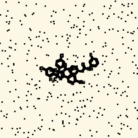 CCOc1cc(C(C)(C)C)ncc1C1=N[C@@](C)(c2ccc(Cl)cc2)[C@@](C)(c2ccc(Cl)cc2)N1C(=O)N1CCC(CC(=O)Nc2cccc(F)c2)CC1